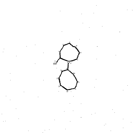 [NH]C1CCCCCCN1C1CCCCCCC1